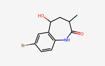 CC1CC(O)c2cc(Br)ccc2NC1=O